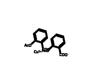 CC(=O)Oc1ccccc1C(=O)[O-].CC(=O)Oc1ccccc1C(=O)[O-].[Cu+2]